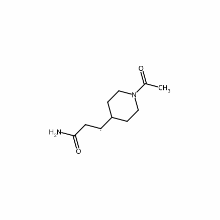 CC(=O)N1CCC([CH]CC(N)=O)CC1